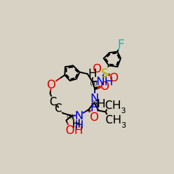 CC(C)C[C@@H]1NC(=O)[C@@H](NS(=O)(=O)c2ccc(F)cc2)Cc2ccc(cc2)OCCCC[C@@H](CO)NC1=O